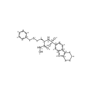 O=C(NO)[C@@H](CCSCc1ccccc1)NS(=O)(=O)c1ccc2c3c(oc2c1)CCCC3